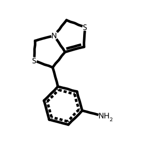 Nc1cccc(C2SCN3CSC=C23)c1